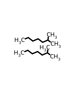 CCCCCC(C)C.CCCCCC(C)C